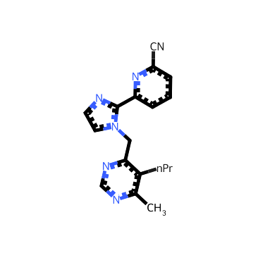 CCCc1c(C)ncnc1Cn1ccnc1-c1cccc(C#N)n1